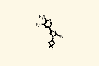 CC(C)c1nc(-c2cnc(N)c(C(F)(F)F)c2)cn1C1CC(F)(F)C1